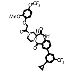 COc1cc(OC(F)(F)F)ccc1OCC(=O)N1CCN2C(=O)c3cc(-c4cc(C5CC5)cc(C(F)(F)F)c4)ccc3NC(=O)[C@@H]2C1